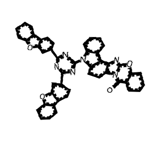 O=c1c2ccccc2oc2nc3c4c5ccccc5n(-c5nc(-c6ccc7c(c6)oc6ccccc67)nc(-c6ccc7c(c6)oc6ccccc67)n5)c4ccc3n12